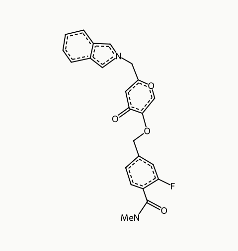 CNC(=O)c1ccc(COc2coc(Cn3cc4ccccc4c3)cc2=O)cc1F